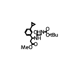 COC(=O)CC(NC(=O)CNC(=O)OC(C)(C)C)c1cccc(C2CC2)c1